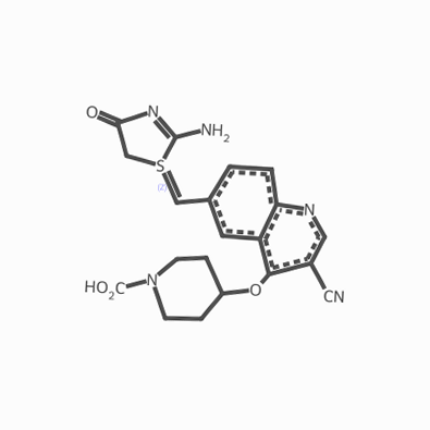 N#Cc1cnc2ccc(/C=S3/CC(=O)N=C3N)cc2c1OC1CCN(C(=O)O)CC1